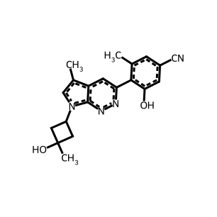 Cc1cc(C#N)cc(O)c1-c1cc2c(C)cn(C3CC(C)(O)C3)c2nn1